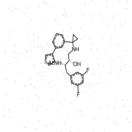 CC(=O)N[C@@H](Cc1cc(F)cc(F)c1)[C@@H](O)CNC1(c2cccc(-c3ccsc3)c2)CC1